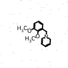 COc1cccc(CN2C=CC=CC2)c1OC